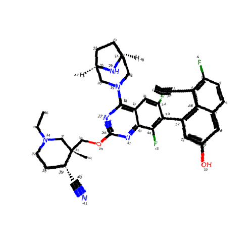 C#Cc1c(F)ccc2cc(O)cc(-c3c(F)cc4c(N5C[C@H]6CC[C@@H](C5)N6)nc(OC[C@@]5(C)CN(CC)CC[C@H]5C#N)nc4c3F)c12